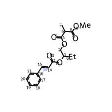 CCC(COC(=O)C(C)C(=O)OC)OC(=O)/C=C/c1ccccc1